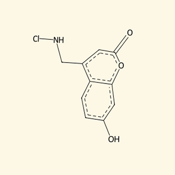 O=c1cc(CNCl)c2ccc(O)cc2o1